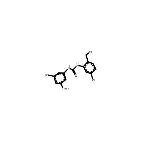 COc1cc(Br)cc(NC(=O)Nc2cc(Cl)ccc2CO)c1